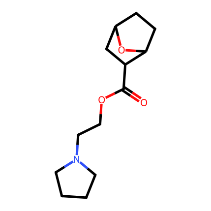 O=C(OCCN1CCCC1)C1CC2CCC1O2